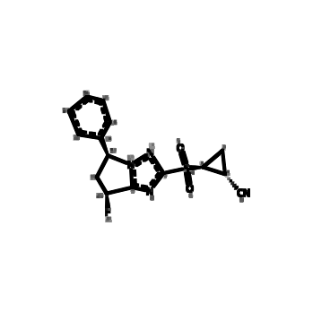 N#C[C@H]1C[C@@H]1S(=O)(=O)c1nc2n(n1)[C@H](c1ccccc1)C[C@@H]2F